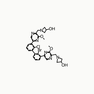 COc1nc(-c2cccc(-c3cccc(-c4cnc(CN5CC(O)C5)c(OC)n4)c3Br)c2Cl)cnc1CN1CC(O)C1